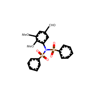 COc1cc(C=O)cc(N(S(=O)(=O)c2ccccc2)S(=O)(=O)c2ccccc2)c1OC